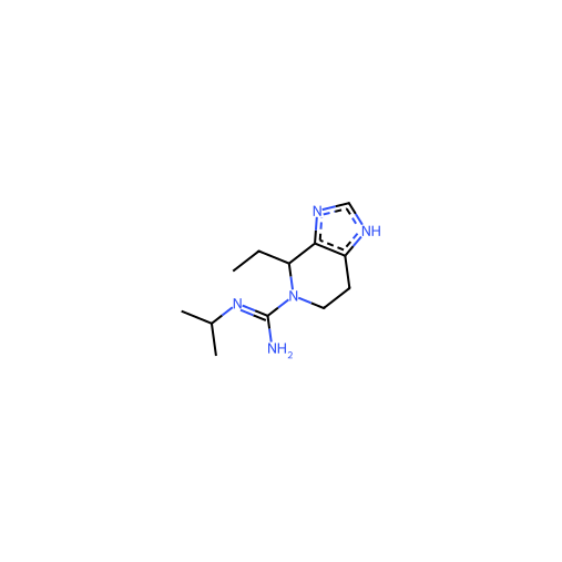 CCC1c2nc[nH]c2CCN1C(N)=NC(C)C